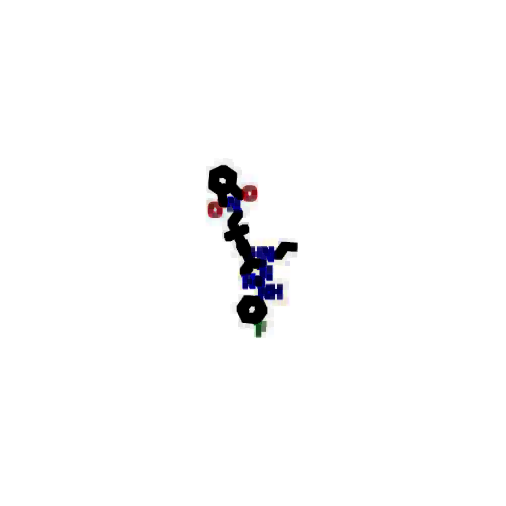 CCCNc1nc(Nc2cccc(F)c2)ncc1C#CC(C)(C)CCN1C(=O)c2ccccc2C1=O